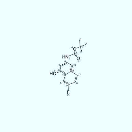 CC(C)(C)OC(=O)Nc1cc(O)c2cc(F)ccc2c1